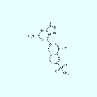 CS(=O)(=O)c1ccc(COc2cc(N)nc3[nH]nnc23)c([N+](=O)[O-])c1